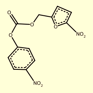 O=C(OCc1ccc([N+](=O)[O-])o1)Oc1ccc([N+](=O)[O-])cc1